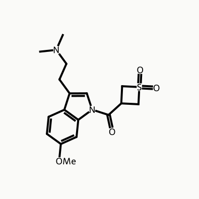 COc1ccc2c(CCN(C)C)cn(C(=O)C3CS(=O)(=O)C3)c2c1